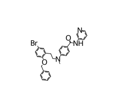 CN(CCc1cc(Br)ccc1OCc1ccccc1)c1ccc(C(=O)Nc2cccnc2)cc1